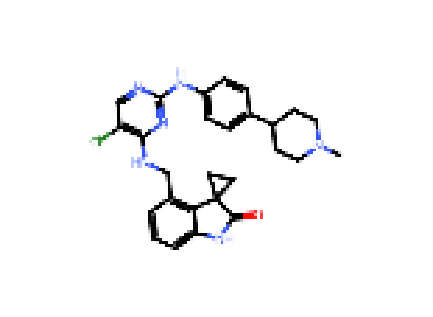 CN1CCC(c2ccc(Nc3ncc(Cl)c(NCc4cccc5c4C4(CC4)C(=O)N5)n3)cc2)CC1